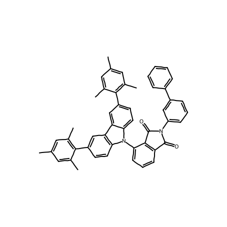 Cc1cc(C)c(-c2ccc3c(c2)c2cc(-c4c(C)cc(C)cc4C)ccc2n3-c2cccc3c2C(=O)N(c2cccc(-c4ccccc4)c2)C3=O)c(C)c1